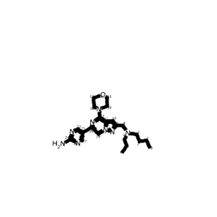 CCCCN(CCC)Cc1cc2c(N3CCOCC3)nc(-c3cnc(N)nc3)cn2n1